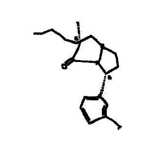 CCC[C@@]1(C)CN2CC[C@H](c3cccc(F)c3)N2C1=O